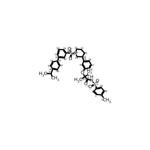 Cc1ccc(S(=O)(=O)NC(=O)C(C)(C)Oc2cccc(C3CCCN(S(=O)(=O)c4cccc(-c5ccc(C(C)C)cc5)c4)C3)c2)cc1